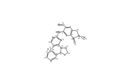 COc1cc2c(cc1Nc1ncc(C(F)(F)F)c(N3OCCC3c3ccccc3)n1)C(=O)N(C)C2